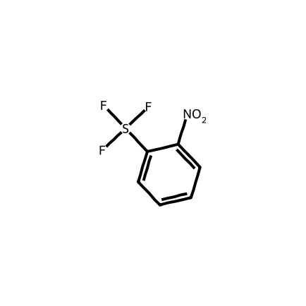 O=[N+]([O-])c1ccccc1S(F)(F)F